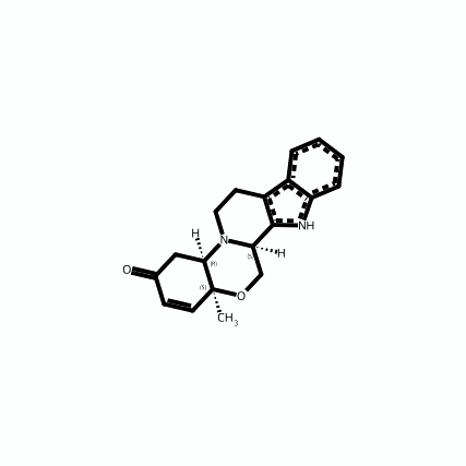 C[C@]12C=CC(=O)C[C@H]1N1CCc3c([nH]c4ccccc34)[C@H]1CO2